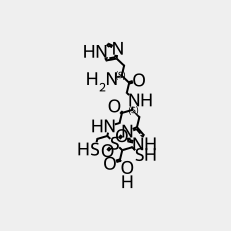 N[C@@H](Cc1c[nH]cn1)C(=O)CN[C@@H](Cc1c[nH]cn1)C(=O)CNC(CS)S(=O)(=O)C(CS)C(=O)O